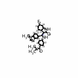 CN(C)C(=O)c1ccc(N/C(=C2\C(=O)Nc3cc(F)ccc32)c2ccc3c(c2)ncn3C)cc1